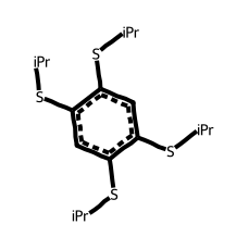 CC(C)Sc1cc(SC(C)C)c(SC(C)C)cc1SC(C)C